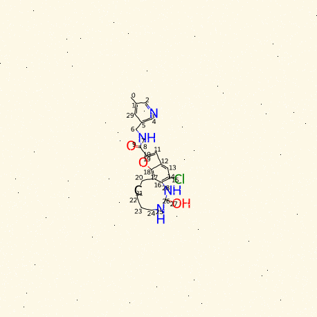 Cc1cncc(CNC(=O)c2cc3cc(Cl)c4c(c3o2)CCCCCNC(O)N4)c1